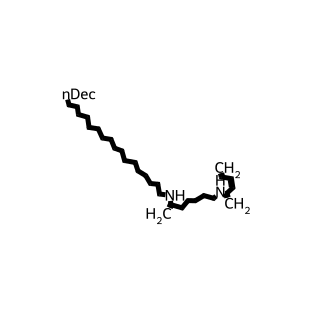 C=C/C=C\C(=C)NCCCCCC(=C)NCCCCCCCCCCCCCCCCCCCCCCCCCCC